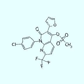 CS(=O)(=O)Oc1c(-c2ccco2)c(=O)n(-c2ccc(Cl)cc2)c2nc(C(F)(F)F)ccc12